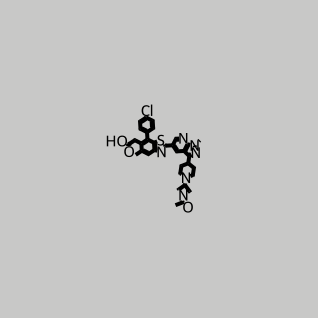 CC(=O)N1CC(N2CCC(c3nn(C)c4ncc(-c5nc6cc(C)c(CC(=O)O)c(-c7ccc(Cl)cc7)c6s5)cc34)CC2)C1